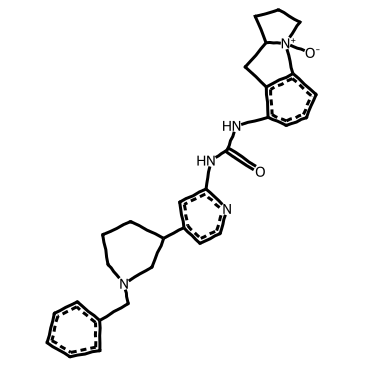 O=C(Nc1cc(C2CCCN(Cc3ccccc3)C2)ccn1)Nc1cccc2c1CC1CCC[N+]21[O-]